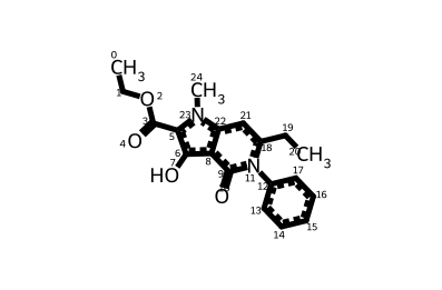 CCOC(=O)c1c(O)c2c(=O)n(-c3ccccc3)c(CC)cc2n1C